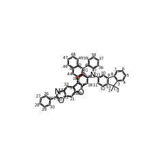 CC1(C)c2ccccc2-c2cc(N(c3ccc4c(c3)oc3cc5oc(-c6ccccc6)nc5cc34)c3ccccc3-c3cccc4ccccc34)ccc21